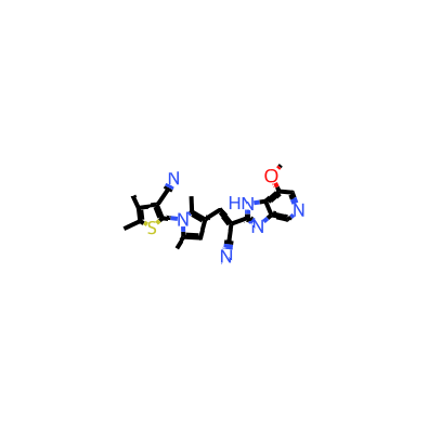 COc1cncc2nc(/C(C#N)=C/c3cc(C)n(-c4sc(C)c(C)c4C#N)c3C)[nH]c12